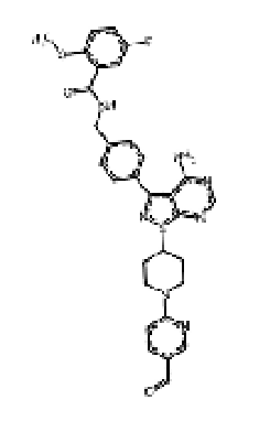 COc1ccc(F)cc1C(=O)NCc1ccc(-c2nn(C3CCN(c4ccc(C=O)cn4)CC3)c3ncnc(N)c23)cc1